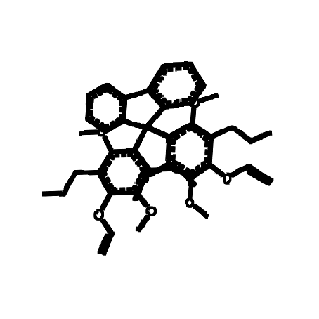 C=COc1c(CCC)c(OC)c(C2(c3c(OC)c(CCC)c(OC=C)c(OC)c3OC)c3ccccc3-c3ccccc32)c(OC)c1OC